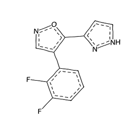 Fc1cccc(-c2cnoc2-c2cc[nH]n2)c1F